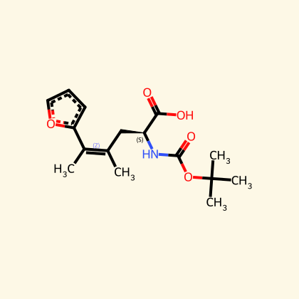 C/C(C[C@H](NC(=O)OC(C)(C)C)C(=O)O)=C(\C)c1ccco1